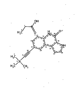 CCC(=O)O.C[Si](C)(C)C#Cc1ccc2[nH]c(=O)c3[nH]ccc3c2c1